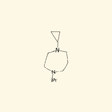 CC(C)N1CCCN(C2CC2)CC1